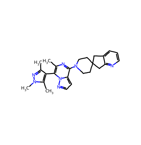 Cc1nn(C)c(C)c1-c1c(C)nc(N2CCC3(CC2)Cc2cccnc2C3)c2ccnn12